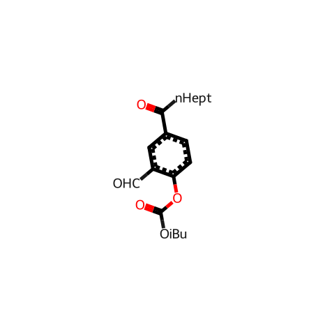 CCCCCCCC(=O)c1ccc(OC(=O)OCC(C)C)c(C=O)c1